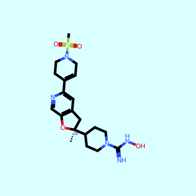 C[C@@]1(C2CCN(C(=N)NO)CC2)Cc2cc(C3=CCN(S(C)(=O)=O)CC3)ncc2O1